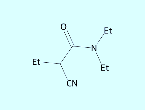 CCC(C#N)C(=O)N(CC)CC